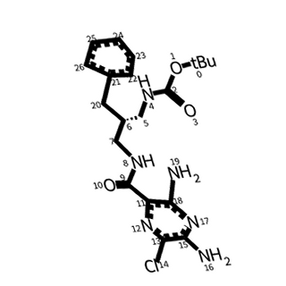 CC(C)(C)OC(=O)NC[C@H](CNC(=O)c1nc(Cl)c(N)nc1N)Cc1ccccc1